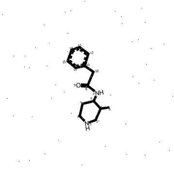 CC1CNCCC1NC(=O)Cc1ccccc1